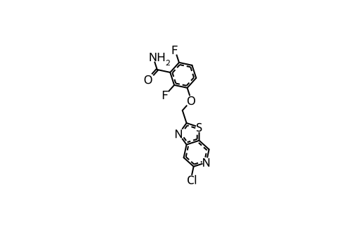 NC(=O)c1c(F)ccc(OCc2nc3cc(Cl)ncc3s2)c1F